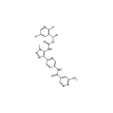 C[C@@H](OC(=O)Nc1c(-c2ccc(NC(=O)c3cnnc(C(F)(F)F)c3)cn2)nnn1C)c1cc(F)cnc1F